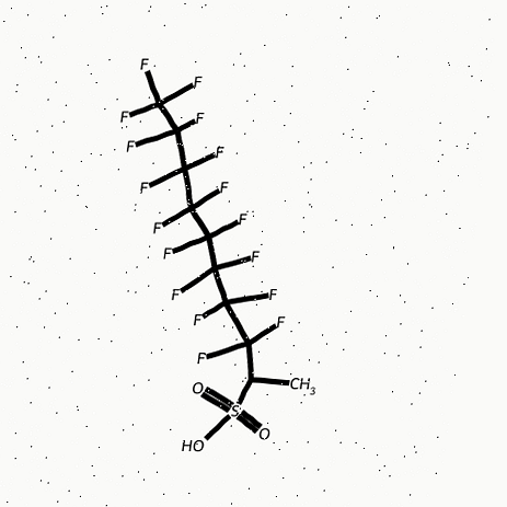 CC(C(F)(F)C(F)(F)C(F)(F)C(F)(F)C(F)(F)C(F)(F)C(F)(F)C(F)(F)F)S(=O)(=O)O